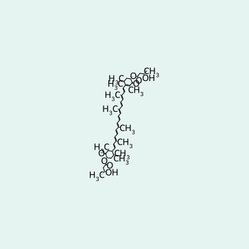 CC1=C(/C=C/C(C)=C/C=C/C(C)=C/C=C/C=C(C)/C=C/C=C(C)/C=C/C2C(C)C(=O)[C@@H](OC(=O)C[C@@H](C)O)CC2(C)C)C(C)(C)C[C@H](OC(=O)C[C@@H](C)O)C1=O